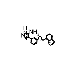 Nc1[nH]nnc1-c1cccc(OCc2cccc3ccsc23)c1